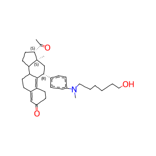 CC(=O)[C@H]1CCC2C3CCC4=CC(=O)CCC4=C3[C@@H](c3ccc(N(C)CCCCCCO)cc3)C[C@@]21C